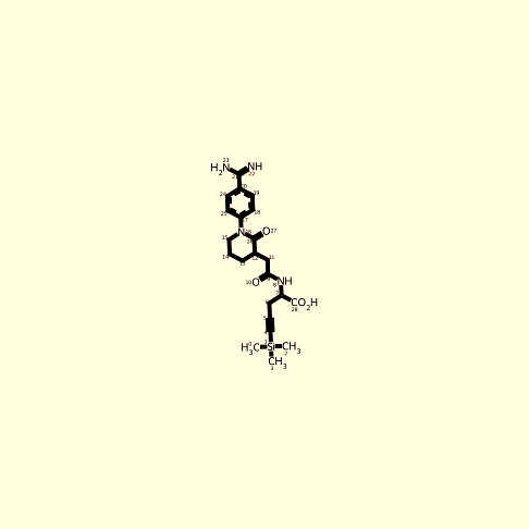 C[Si](C)(C)C#CCC(NC(=O)CC1CCCN(c2ccc(C(=N)N)cc2)C1=O)C(=O)O